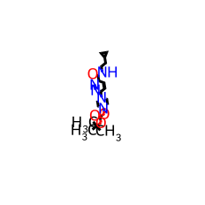 CC(C)(C)OC(=O)ON1CCN(c2ccc(C(=O)NCCC3CC3)nn2)CC1